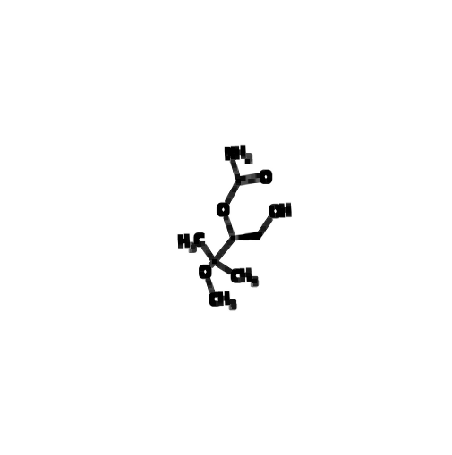 COC(C)(C)[C@H](CO)OC(N)=O